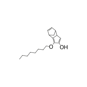 CCCCCCCCOC1=C2C3C=CC(C3)C2C=C1O